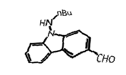 CCCCNn1c2ccccc2c2cc(C=O)ccc21